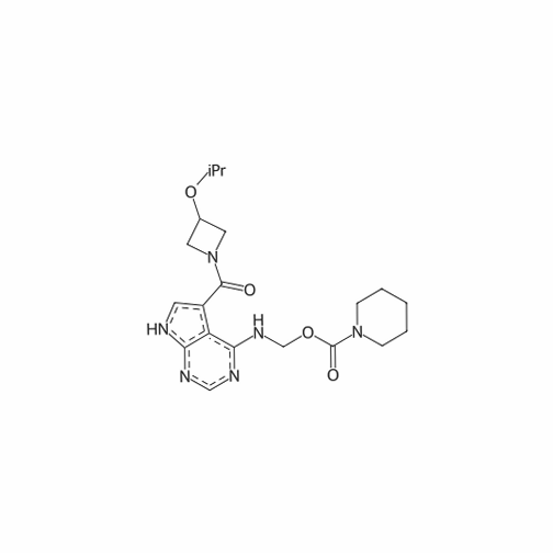 CC(C)OC1CN(C(=O)c2c[nH]c3ncnc(NCOC(=O)N4CCCCC4)c23)C1